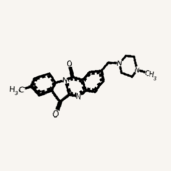 Cc1ccc2c(c1)C(=O)c1nc3ccc(CN4CCN(C)CC4)cc3c(=O)n1-2